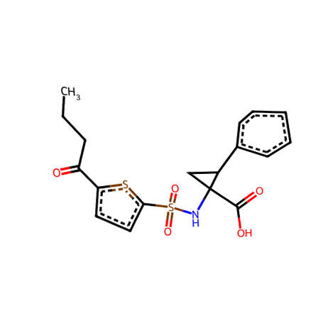 CCCC(=O)c1ccc(S(=O)(=O)NC2(C(=O)O)CC2c2ccccc2)s1